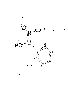 O=[N+]([O-])C(O)c1ccccc1